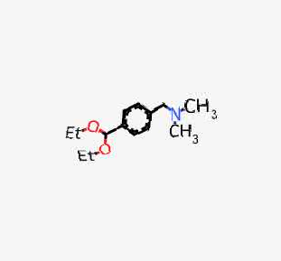 CCOC(OCC)c1ccc(CN(C)C)cc1